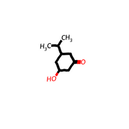 CC(C)C1CC(=O)CC(O)C1